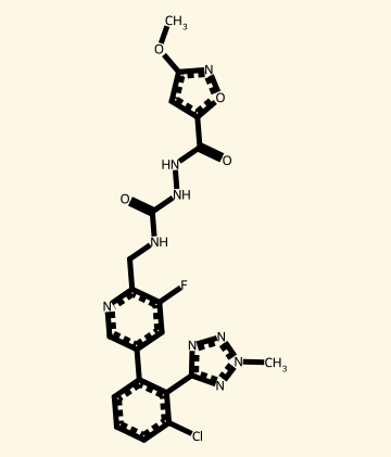 COc1cc(C(=O)NNC(=O)NCc2ncc(-c3cccc(Cl)c3-c3nnn(C)n3)cc2F)on1